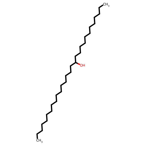 CCCCCCCCCCCCCCCCC(O)CCCCCCCCCCCC